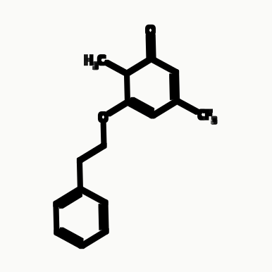 CC1C(=O)C=C(C(F)(F)F)C=C1OCCc1ccccc1